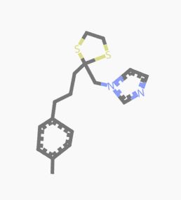 Cc1ccc(CCCC2(Cn3ccnc3)SCCS2)cc1